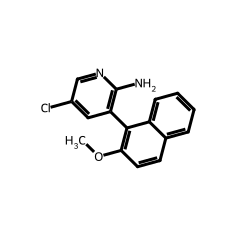 COc1ccc2ccccc2c1-c1cc(Cl)cnc1N